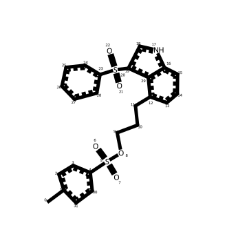 Cc1ccc(S(=O)(=O)OCCCc2cccc3[nH]cc(S(=O)(=O)c4ccccc4)c23)cc1